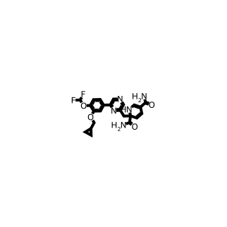 NC(=O)C1=CNC(Cc2cncc(-c3ccc(OC(F)F)c(OCC4CC4)c3)n2)(C(N)=O)C=C1